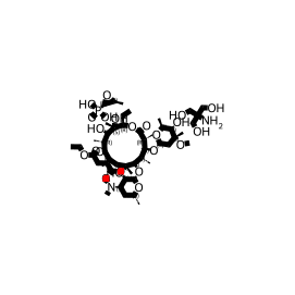 CCOC(=O)CCC(=O)O[C@H]1[C@H](O[C@@H]2[C@@H](C)[C@H](O[C@H]3C[C@@](C)(OC)[C@@H](O)[C@H](C)O3)[C@@H](C)C(=O)O[C@H](CC)[C@@](C)(O)[C@H](O)[C@@H](C)C(=O)[C@H](C)C[C@@]2(C)O)O[C@H](C)C[C@@H]1N(C)C.C[C@@H]1O[C@@H]1P(=O)(O)O.NC(CO)(CO)CO